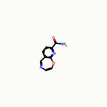 NC(=O)c1ccc2c(n1)OC=CN=C2